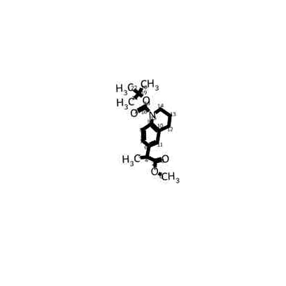 COC(=O)C(C)c1ccc2c(c1)CCCN2C(=O)OC(C)(C)C